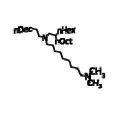 CCCCCCCCCCCCN(CCCCCCCCCN(C)C)CC(CCCCCC)CCCCCCCC